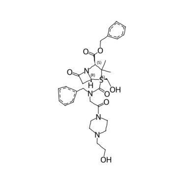 CC1(C)[C@H](C(=O)OCc2ccccc2)N2C(=O)C[C@H]2[S@@]1(CO)C(=O)N(CC(=O)N1CCN(CCO)CC1)Cc1ccccc1